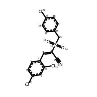 N#C/C(=C\c1ccc(Cl)cc1Cl)S(=O)(=O)Cc1ccc(Cl)cc1